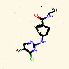 [2H]CNC(=O)c1ccc(Nc2ncc(C(F)(F)F)c(Cl)n2)cc1